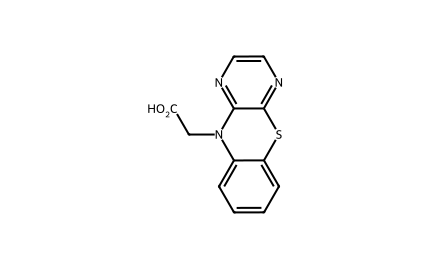 O=C(O)CN1c2ccccc2Sc2nccnc21